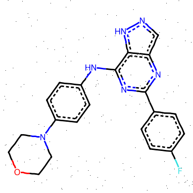 Fc1ccc(-c2nc(Nc3ccc(N4CCOCC4)cc3)c3[nH]ncc3n2)cc1